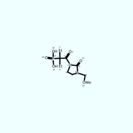 CCC(CC)(C(=O)N1CCN(COC)C1=O)P(=O)(O)O